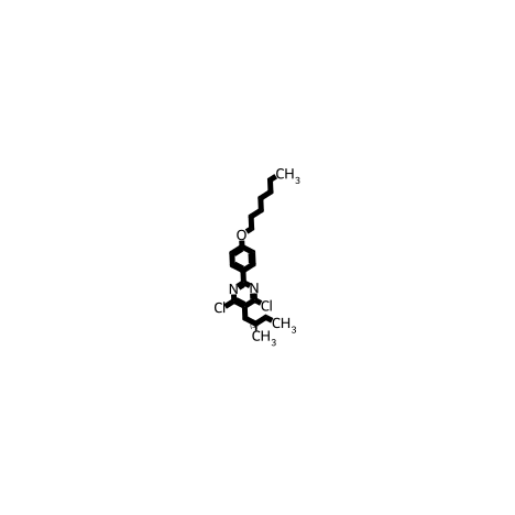 CCCCCCCOc1ccc(-c2nc(Cl)c(C[C@@H](C)CC)c(Cl)n2)cc1